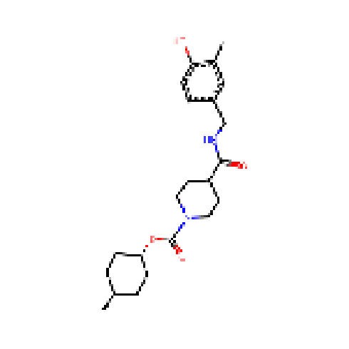 Cc1cc(CNC(=O)C2CCN(C(=O)O[C@H]3CC[C@H](C)CC3)CC2)ccc1O